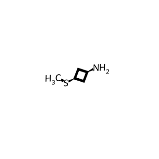 CS[C@H]1C[C@@H](N)C1